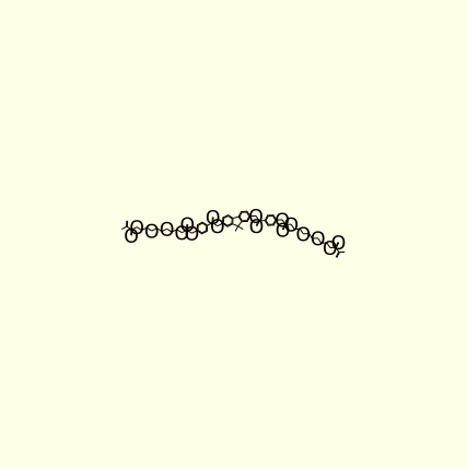 C=C(C)C(=O)OCCOCCOCCOC(=O)Oc1ccc(C(=O)Oc2ccc3c(c2)C(C)(C)c2cc(OC(=O)c4ccc(OC(=O)OCCOCCOCCOC(=O)C(=C)C)cc4)ccc2-3)cc1